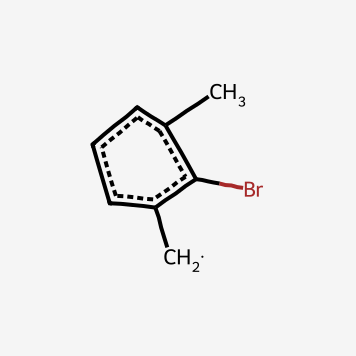 [CH2]c1cccc(C)c1Br